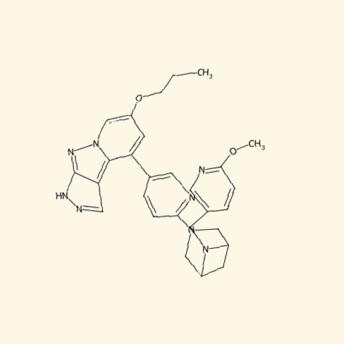 CCCOc1cc(-c2ccc(N3CC4CC(C3)N4Cc3ccc(OC)nc3)nc2)c2c3cn[nH]c3nn2c1